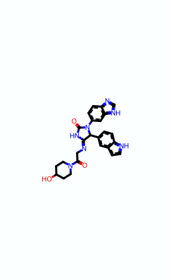 O=C(CN=C1NC(=O)N(c2ccc3nc[nH]c3c2)C1c1ccc2[nH]ccc2c1)N1CCC(O)CC1